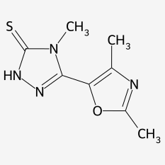 Cc1nc(C)c(-c2n[nH]c(=S)n2C)o1